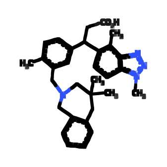 Cc1ccc(C(CC(=O)O)c2ccc3c(nnn3C)c2C)cc1CN1Cc2ccccc2CC(C)(C)C1